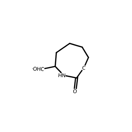 O=[C]C1CCCCCC(=O)N1